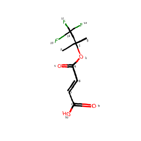 CC(C)(OC(=O)C=CC(=O)O)C(F)(F)F